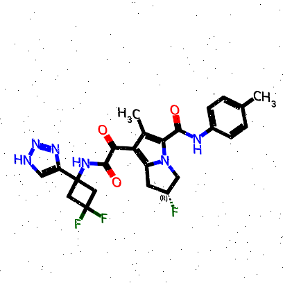 Cc1ccc(NC(=O)c2c(C)c(C(=O)C(=O)NC3(c4c[nH]nn4)CC(F)(F)C3)c3n2C[C@H](F)C3)cc1